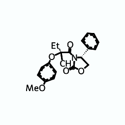 CC[C@](C)(Oc1ccc(OC)cc1)C(=O)N1C(=O)OC[C@H]1c1ccccc1